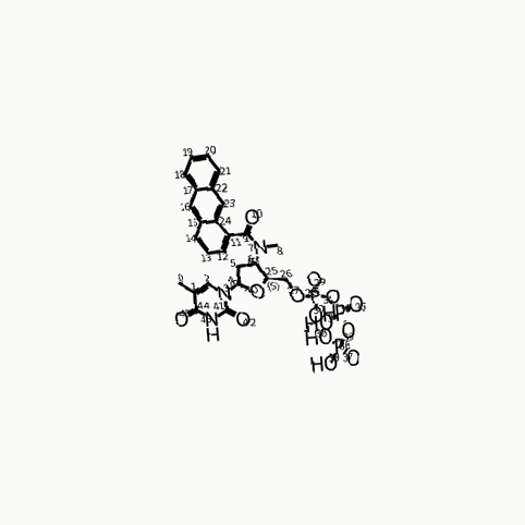 Cc1cn([C@H]2C[C@H](N(C)C(=O)c3cccc4cc5ccccc5cc34)[C@@H](COP(=O)(O)OP(=O)(O)OP(=O)(O)O)O2)c(=O)[nH]c1=O